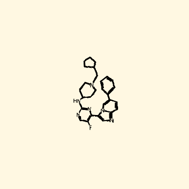 Fc1cnc(NC2CCN(CC3CCCC3)CC2)nc1-c1cnc2ccc(-c3ccccc3)cn12